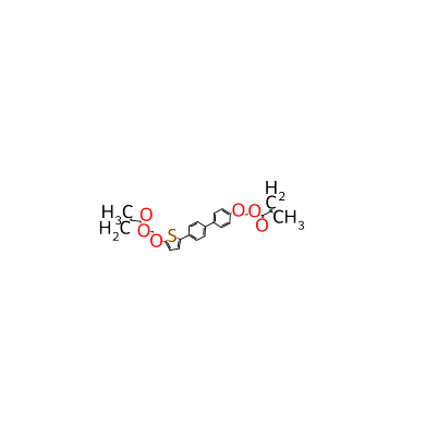 C=C(C)C(=O)OCOc1ccc(-c2ccc(-c3ccc(OCOC(=O)C(=C)C)s3)cc2)cc1